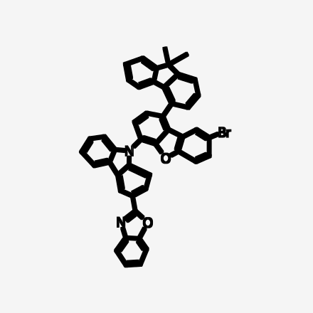 CC1(C)c2ccccc2-c2c(-c3ccc(-n4c5ccccc5c5cc(-c6nc7ccccc7o6)ccc54)c4oc5ccc(Br)cc5c34)cccc21